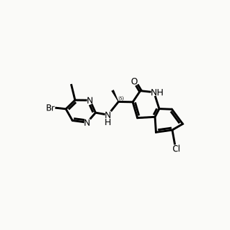 Cc1nc(N[C@@H](C)c2cc3cc(Cl)ccc3[nH]c2=O)ncc1Br